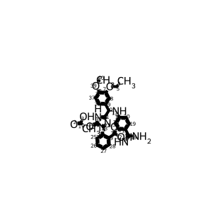 CC(=O)O.CCOc1cc([C@H](Nc2ccc(C(=N)N)cc2)c2nn(-c3ccccc3C(=O)O)c(=O)[nH]2)ccc1OC